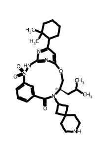 CC(C)C[C@@H]1COc2cc(C3CCCCC3(C)C)nc(n2)NS(=O)(=O)c2cccc(c2)C(=O)N1C1CC2(CCNCC2)C1